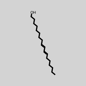 CCCCCCC=CC=CCCCCCCCCO